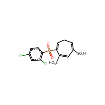 O=S(=O)(O)C1=CCC=C(S(=O)(=O)c2ccc(Cl)cc2Cl)C(S(=O)(=O)O)=C1